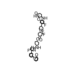 O=C1CCC(Nc2ccc(C3CCN(C4CCN(C(=O)O[C@H]5CC[C@H](Nc6ncc(F)c(-c7cccc(-n8ccccc8=O)c7)n6)CC5)CC4(F)F)CC3)c(F)c2)C(=O)N1